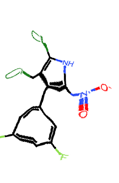 O=[N+]([O-])c1[nH]c(Cl)c(Cl)c1-c1cc(F)cc(F)c1